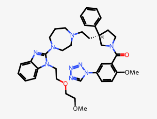 COCCOCCn1c(N2CCCN(CC[C@]3(c4ccccc4)CCN(C(=O)c4cc(-n5cnnn5)ccc4OC)C3)CC2)nc2ccccc21